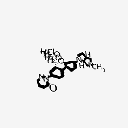 CN1C[C@H]2CCN(c3ccc(-c4ccc(-n5ncccc5=O)cc4)cc3)[C@H]2C1.Cl.O.O.O